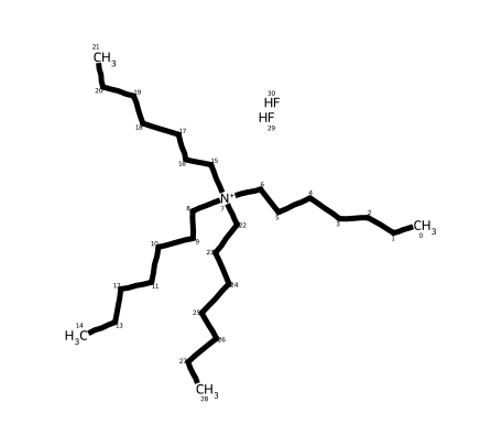 CCCCCCC[N+](CCCCCCC)(CCCCCCC)CCCCCCC.F.F